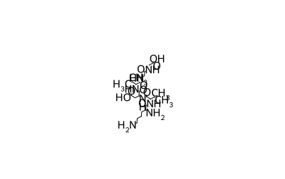 CC(C)C(NC(=O)C(N)CCCCN)C(=O)NC(CC(=O)O)C(=O)NC(C(=O)NCC(=O)NCC(=O)O)C(C)C